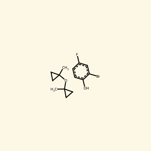 CC1(OC2(C)CC2)CC1.Oc1ccc(F)cc1Br